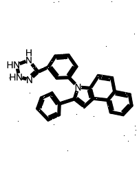 c1ccc(-c2cc3c4ccccc4ccc3n2-c2cccc(C3=NNNN3)c2)cc1